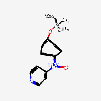 CC(C)(C)[Si](C)(C)Oc1ccc([NH+]([O-])c2ccncc2)cc1